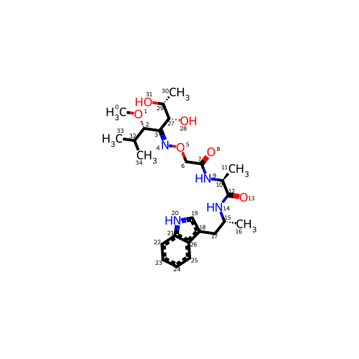 CO[C@H](/C(=N/OCC(=O)N[C@@H](C)C(=O)N[C@H](C)Cc1c[nH]c2ccccc12)[C@@H](O)[C@@H](C)O)C(C)C